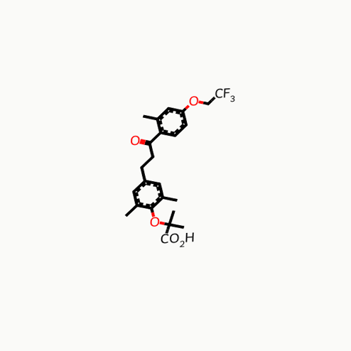 Cc1cc(OCC(F)(F)F)ccc1C(=O)CCc1cc(C)c(OC(C)(C)C(=O)O)c(C)c1